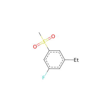 CCc1cc(F)cc(S(C)(=O)=O)c1